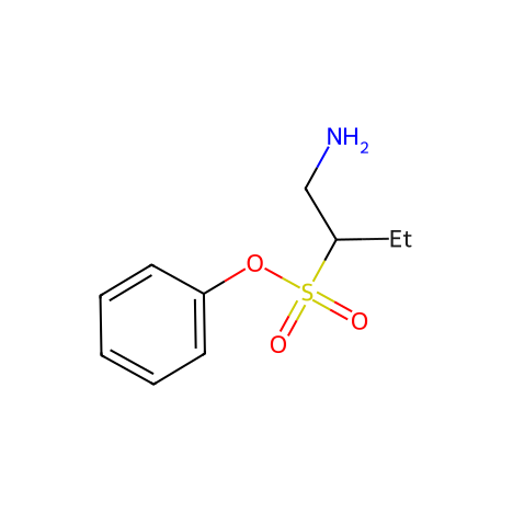 CCC(CN)S(=O)(=O)Oc1ccccc1